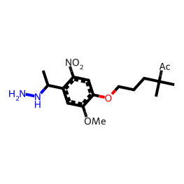 COc1cc(C(C)NN)c([N+](=O)[O-])cc1OCCCC(C)(C)C(C)=O